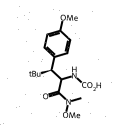 COc1ccc([C@@H](C(NC(=O)O)C(=O)N(C)OC)C(C)(C)C)cc1